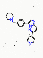 c1cc(-c2ccc3ncc(-c4ccc(CN5CCCCC5)cc4)n3n2)ccn1